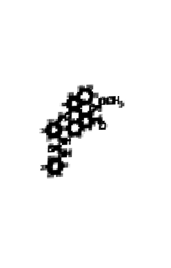 COCOc1c(C=O)cc2c(c1-c1c(OCc3cccc(NC(=O)Nc4ccccc4)c3)ccc3c1CCCC3)CCCC2